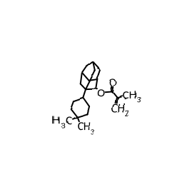 C=C(C)C(=O)OC1C2CC3CC(C2)CC1(C1CCC(C)(C)CC1)C3